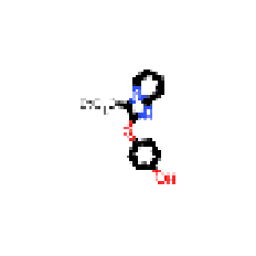 CCOC(=O)c1c(Oc2ccc(O)cc2)nc2ccccn12